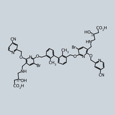 Cc1c(COc2nc(OCc3cc(C#N)ccn3)c(CNC[C@@H](O)CC(=O)O)cc2Br)cccc1-c1cccc(COc2nc(OCc3cc(C#N)ccn3)c(CNC[C@@H](O)CC(=O)O)cc2Br)c1C